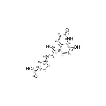 O=C(O)[C@@H]1CC[C@H](NC[C@@H](O)c2ccc(O)c3[nH]c(=O)ccc23)C1